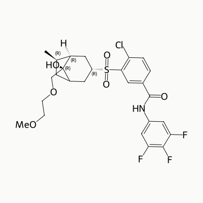 COCCOC[C@@]1(O)C2C[C@@H](S(=O)(=O)c3cc(C(=O)Nc4cc(F)c(F)c(F)c4)ccc3Cl)C[C@@H]1[C@H](C)C2